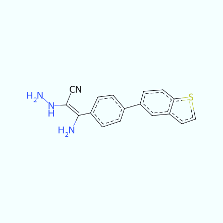 N#C/C(NN)=C(/N)c1ccc(-c2ccc3sccc3c2)cc1